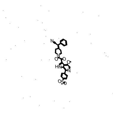 COc1cnc(-c2ccc(S(C)(=O)=O)cc2)c2[nH]cc(C(=O)C(=O)N3CCC(=C(C#N)c4ccccc4)CC3)c12